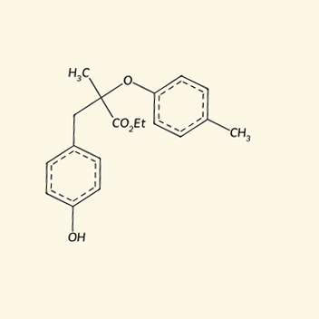 CCOC(=O)C(C)(Cc1ccc(O)cc1)Oc1ccc(C)cc1